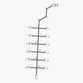 OCC[CH]C(F)(F)C(F)(F)C(F)(F)C(F)(F)C(F)(F)C(F)(F)F